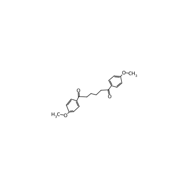 COc1ccc(C(=O)CCCCC(=O)c2ccc(OC)cc2)cc1